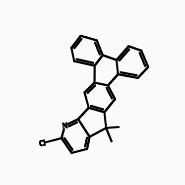 CC1(C)c2cc3c4ccccc4c4ccccc4c3cc2-c2nc(Cl)ccc21